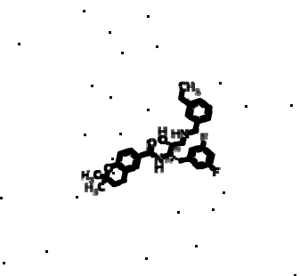 CCc1cccc(CNC[C@@H](O)[C@H](Cc2cc(F)cc(F)c2)NC(=O)c2ccc3c(c2)CCC(C)(C)O3)c1